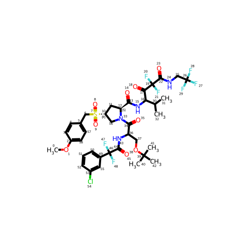 COc1ccc(CS(=O)(=O)[C@@H]2C[C@@H](C(=O)NC(C(=O)C(F)(F)C(=O)NCC(F)(F)F)C(C)C)N(C(=O)C(COC(C)(C)C)NC(=O)C(F)(F)c3cccc(Cl)c3)C2)cc1